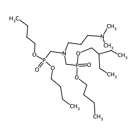 CCCCOP(=O)(CN(CCCN(C)C)CP(=O)(OCCCC)OCC(CC)CC)OCCCC